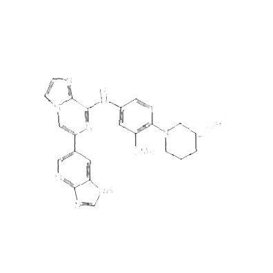 COc1cc(Nc2nc(-c3cnc4nc[nH]c4c3)cn3ccnc23)ccc1N1CCC[C@@H](O)C1